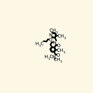 CCCCOc1nc(C)cc(C)c1CN1CCc2ccc(C(=O)N(C)C)c(C)c2C1=O